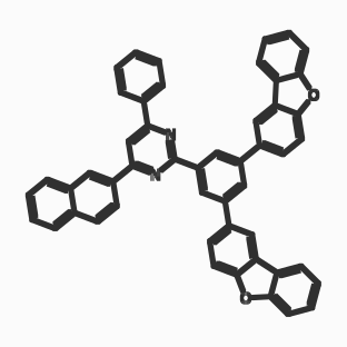 c1ccc(-c2cc(-c3ccc4ccccc4c3)nc(-c3cc(-c4ccc5oc6ccccc6c5c4)cc(-c4ccc5oc6ccccc6c5c4)c3)n2)cc1